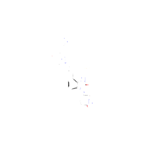 Br.CNCC[C@@H]1CN(CCCc2cccc3c2n(C)c(=O)n3C2CCC(=O)NC2=O)CCO1